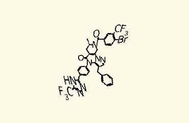 C[C@@H]1Cc2c(n3ncc(Cc4ccccc4)c3n(-c3ccc(-c4nnc(C(F)(F)F)[nH]4)cc3)c2=O)CN1C(=O)c1ccc(Br)c(C(F)(F)F)c1